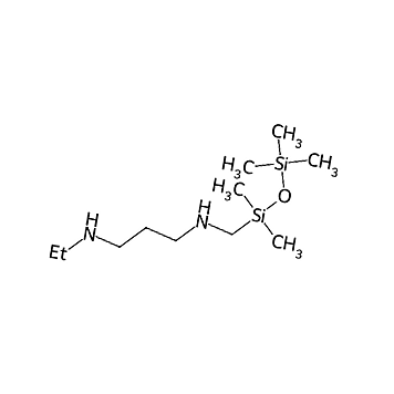 CCNCCCNC[Si](C)(C)O[Si](C)(C)C